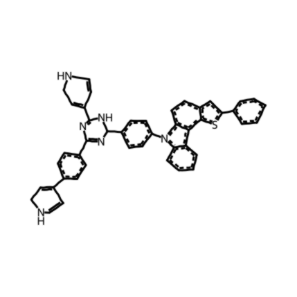 C1=CC(C2=NC(c3ccc(C4=CCNC=C4)cc3)=NC(c3ccc(-n4c5ccccc5c5c6sc(-c7ccccc7)cc6ccc54)cc3)N2)=CCN1